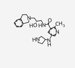 Cc1ncc(NC2CCNC2)cc1C(=O)NC[C@H](O)CN1CCc2ccccc2C1